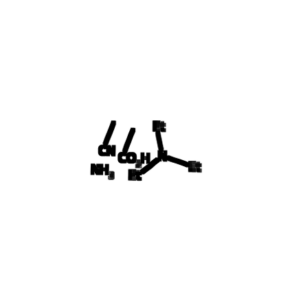 CC#N.CC(=O)O.CCN(CC)CC.N